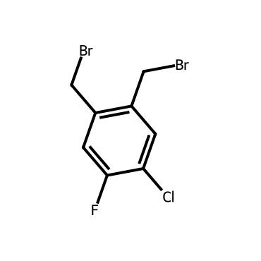 Fc1cc(CBr)c(CBr)cc1Cl